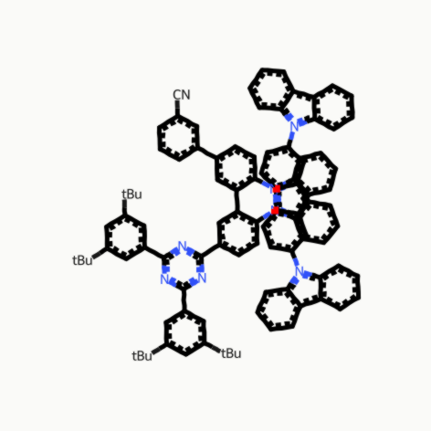 CC(C)(C)c1cc(-c2nc(-c3cc(C(C)(C)C)cc(C(C)(C)C)c3)nc(-c3ccc(-n4c5ccccc5c5cc(-n6c7ccccc7c7ccccc76)ccc54)c(-c4cc(-c5cccc(C#N)c5)ccc4-n4c5ccccc5c5cc(-n6c7ccccc7c7ccccc76)ccc54)c3)n2)cc(C(C)(C)C)c1